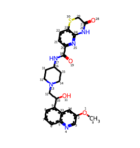 COc1cnc2cccc(C(O)CN3CCC(NC(=O)c4ccc5c(n4)NC(=O)CS5)CC3)c2c1